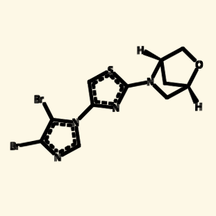 Brc1ncn(-c2csc(N3C[C@@H]4C[C@H]3CO4)n2)c1Br